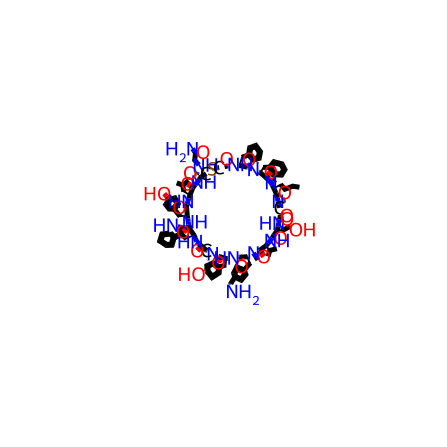 CCCC[C@H]1C(=O)N(C)CC(=O)N[C@@H](CC(=O)O)C(=O)N[C@@H](C(C)C)C(=O)N(C)[C@@H](Cc2ccc(CN)cc2)C(=O)N[C@@H](Cc2ccc(O)cc2)C(=O)N(C)CC(=O)N[C@@H](Cc2c[nH]c3ccccc23)C(=O)N[C@@H](Cc2ccc(O)cc2)C(=O)N[C@@H](CC(C)C)C(=O)N[C@H](C(=O)NCC(N)=O)CSCC(=O)N[C@@H](Cc2ccccc2)C(=O)N(C)[C@@H](Cc2ccccc2)C(=O)N1C